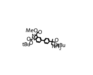 COC(=O)c1nn(C(=O)OC(C)(C)C)c2ccc(-c3ccc(C(C)(CN)C(=O)OC(C)(C)C)cc3)cc12